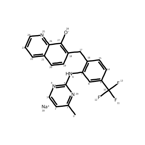 Cc1ccnc(Nc2cc(C(F)(F)F)ccc2Cc2ccc3cccnc3c2[O-])n1.[Na+]